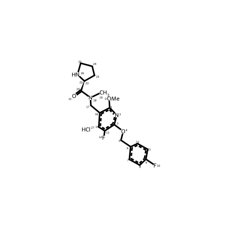 COc1nc(OCc2ccc(F)cc2)c(F)cc1CN(C)C(=O)[C@@H]1CCCN1.Cl